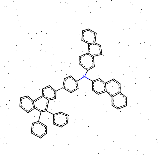 c1ccc(-c2c(-c3ccccc3)c3cc(-c4ccc(N(c5ccc6c(ccc7ccccc76)c5)c5ccc6c(ccc7ccccc76)c5)cc4)ccc3c3ccccc23)cc1